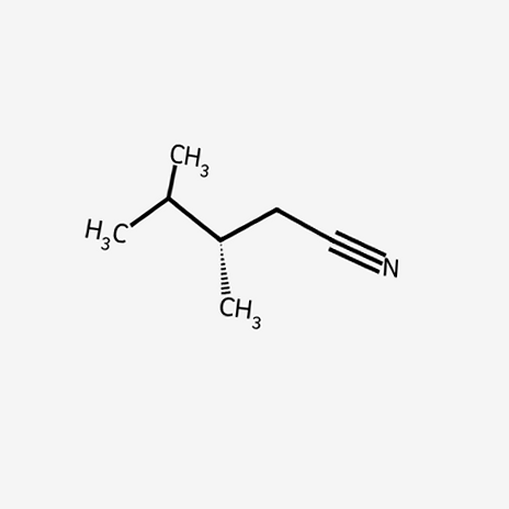 CC(C)[C@@H](C)CC#N